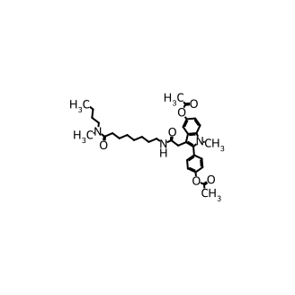 CCCCN(C)C(=O)CCCCCCCNC(=O)Cc1c(-c2ccc(OC(C)=O)cc2)n(C)c2ccc(OC(C)=O)cc12